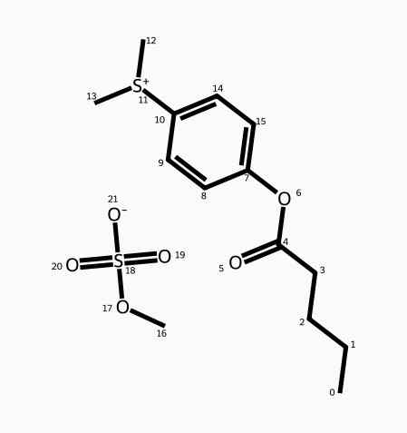 CCCCC(=O)Oc1ccc([S+](C)C)cc1.COS(=O)(=O)[O-]